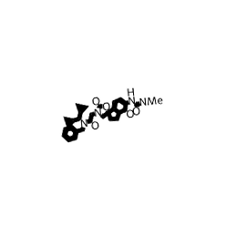 CNC(=O)NC1=CC=C2C(CCC23CN(CC(=O)N(Cc2ccccc2)C(C2CC2)C2CC2)C(=O)O3)C1=O